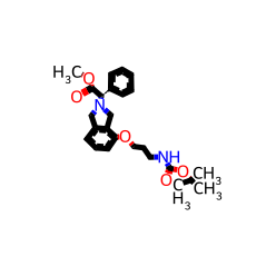 COC(=O)[C@H](c1ccccc1)N1Cc2cccc(OCCCNC(=O)OC(C)(C)C)c2C1